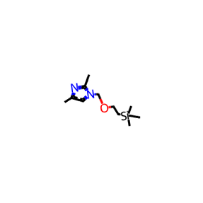 Cc1cn(COCC[Si](C)(C)C)c(C)n1